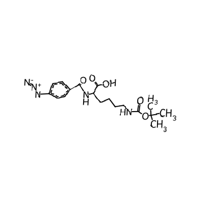 CC(C)(C)OC(=O)NCCCCC(NC(=O)c1ccc(N=[N+]=[N-])cc1)C(=O)O